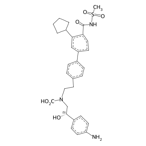 CS(=O)(=O)NC(=O)c1ccc(-c2ccc(CCN(C[C@@H](O)c3ccc(N)cc3)C(=O)O)cc2)cc1C1CCCC1